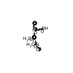 COc1cc(COc2nn(Cc3ccccc3)cc2C=CC(=O)O)ccc1OCc1nc(-c2ccco2)oc1C